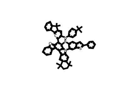 CC(C)(C)c1ccc(N2B3c4cc5cc(-c6ccccc6)sc5cc4-n4c5cc6c(cc5c5c7c(oc8ccccc87)c(c3c54)-c3cc4c(cc32)C(C)(C)c2ccccc2-4)C(C)(C)CCC6(C)C)cc1